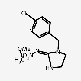 COC.O=[N+]([O-])N=C1NCCN1Cc1ccc(Cl)nc1